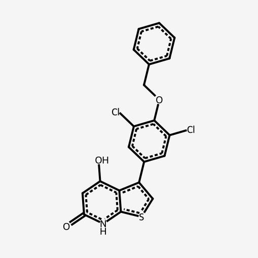 O=c1cc(O)c2c(-c3cc(Cl)c(OCc4ccccc4)c(Cl)c3)csc2[nH]1